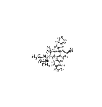 Cc1nc(C)nc(-c2cc3c(-c4ccc5ccccc5c4)c4ccc(C#N)cc4c(-c4ccc5ccccc5c4)c3cc2C)n1